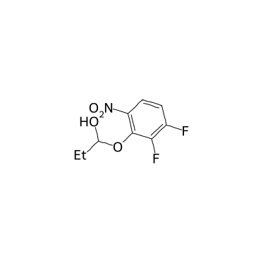 CCC(O)Oc1c([N+](=O)[O-])ccc(F)c1F